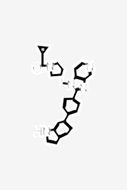 O=C(C1CC1)N1CC[C@H](Cn2c(-c3ccc(-c4ccc5cc[nH]c5c4)cc3)nc3cnccc32)C1